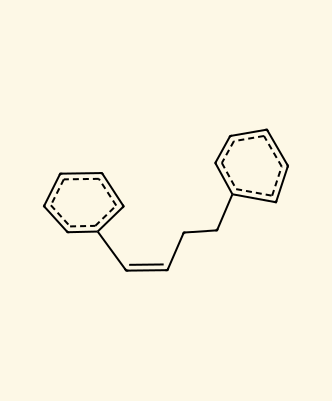 C(=C/c1ccccc1)/CCc1ccccc1